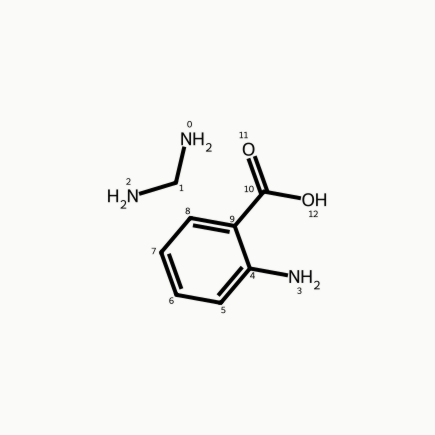 NCN.Nc1ccccc1C(=O)O